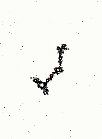 CCOCc1nc2c(NC(=O)OCc3ccc(OC(=O)CCCCC(=O)N4Cc5ccccc5-c5c(nnn5CCOc5ccc(C(=O)Oc6ccc(CS[P@]7(=O)OC[C@H]8O[C@@H](n9cnc%10c(N)ncnc%109)[C@H](F)[C@@H]8O[P@](C)(=O)OC[C@H]8O[C@@H](n9cnc%10c(C)ncnc%109)[C@H](F)[C@@H]8O7)cc6)cc5)-c5ccccc54)cc3)nc3ccccc3c2n1CC(C)(C)O